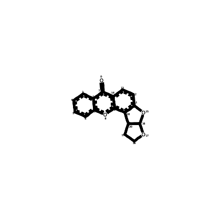 O=c1c2ccccc2oc2c3c(ccc12)OC1OCCC31